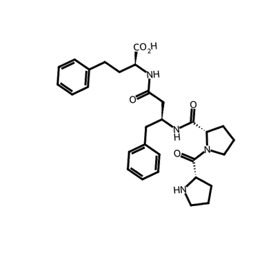 O=C(C[C@H](Cc1ccccc1)NC(=O)[C@@H]1CCCN1C(=O)[C@@H]1CCCN1)N[C@@H](CCc1ccccc1)C(=O)O